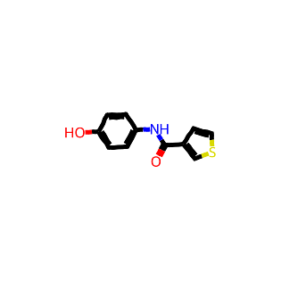 O=C(Nc1ccc(O)cc1)c1ccsc1